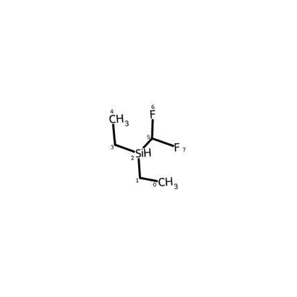 CC[SiH](CC)C(F)F